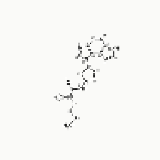 COCCN(C)C(=O)NC1CCC(n2cnc3cnc4[nH]ccc4c32)C1